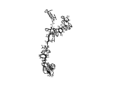 CC(=O)NCCCCCNC(=O)C(CCCCNC(=O)Oc1ccc(COC(=O)ON2C(=O)CCC2=O)cc1)NC(=O)Oc1ccc(COC(=O)ON2C(=O)CCC2=O)cc1